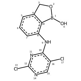 OB1OCc2cccc(Nc3nc(Cl)ncc3Cl)c21